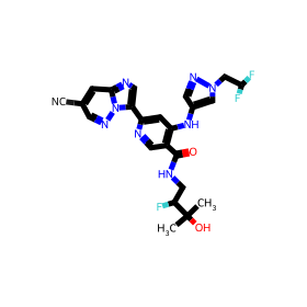 CC(C)(O)C(F)CNC(=O)c1cnc(-c2cnc3cc(C#N)cnn23)cc1Nc1cnn(CC(F)F)c1